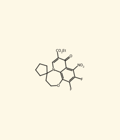 CCOC(=O)c1cn2c3c(c(F)c(F)c([N+](=O)[O-])c3c1=O)OCCC21CCCC1